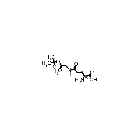 CC(C)(C)OC(=O)CNC(=O)CC[C@H](N)C(=O)O